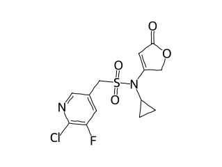 O=C1C=C(N(C2CC2)S(=O)(=O)Cc2cnc(Cl)c(F)c2)CO1